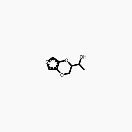 CC(O)C1COc2cscc2O1